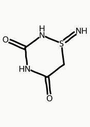 N=S1CC(=O)NC(=O)N1